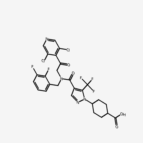 O=C(CN(Cc1cccc(F)c1F)C(=O)c1cnn(C2CCC(C(=O)O)CC2)c1C(F)(F)F)c1c(Cl)cncc1Cl